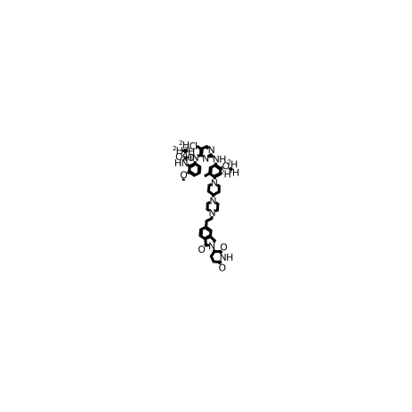 [2H]C([2H])([2H])Oc1cc(N2CCC(N3CCN(CCc4ccc5c(c4)CN(C4CCC(=O)NC4=O)C5=O)CC3)CC2)c(C)cc1Nc1ncc(Cl)c(Nc2cccc(OC)c2NS(=O)(=O)C([2H])([2H])[2H])n1